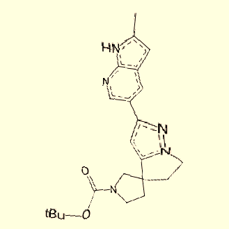 Cc1cc2cc(-c3cc4n(n3)CCC43CCN(C(=O)OC(C)(C)C)C3)cnc2[nH]1